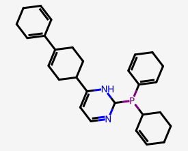 C1=CC(C2=CCC(C3=CC=NC(P(C4=CCCC=C4)C4C=CCCC4)N3)CC2)=CCC1